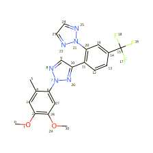 COc1cc(C)c(-n2ncc(-c3ccc(C(F)(F)F)cc3-n3nccn3)n2)cc1OC